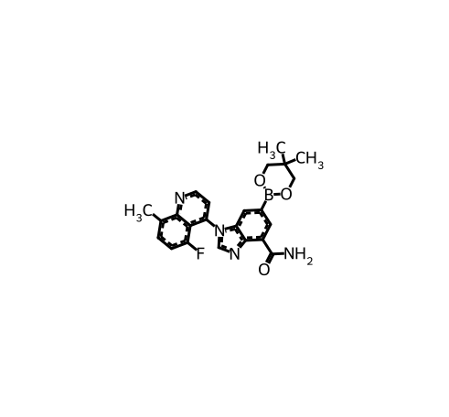 Cc1ccc(F)c2c(-n3cnc4c(C(N)=O)cc(B5OCC(C)(C)CO5)cc43)ccnc12